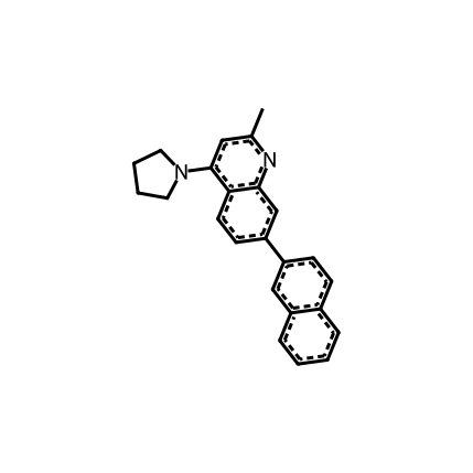 Cc1cc(N2CCCC2)c2ccc(-c3ccc4ccccc4c3)cc2n1